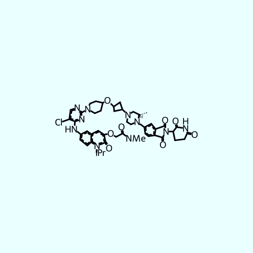 CNC(=O)COc1cc2cc(Nc3nc(N4CCC(OC5CC(N6CCN(c7ccc8c(c7)C(=O)N(C7CCC(=O)NC7=O)C8=O)[C@@H](C)C6)C5)CC4)ncc3Cl)ccc2n(C(C)C)c1=O